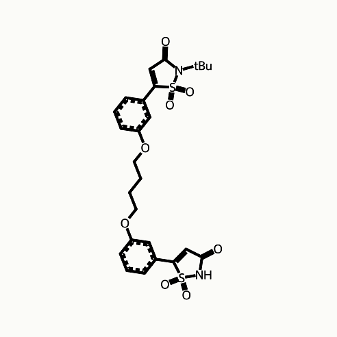 CC(C)(C)N1C(=O)C=C(c2cccc(OCCCCOc3cccc(C4=CC(=O)NS4(=O)=O)c3)c2)S1(=O)=O